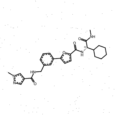 CNC(=O)[C@@H](NC(=O)c1ccc(-c2cccc(CNC(=O)c3cnn(C)c3)c2)o1)C1CCCCC1